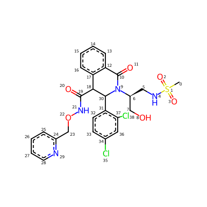 CS(=O)(=O)NC[C@@H](CO)N1C(=O)c2ccccc2C(C(=O)NOCc2ccccn2)C1c1ccc(Cl)cc1Cl